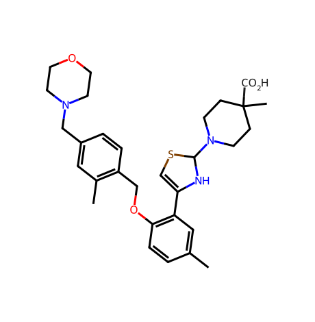 Cc1ccc(OCc2ccc(CN3CCOCC3)cc2C)c(C2=CSC(N3CCC(C)(C(=O)O)CC3)N2)c1